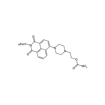 CCCCCN1C(=O)c2cccc3c(N4CCN(CCOC(N)=O)CC4)ccc(c23)C1=O